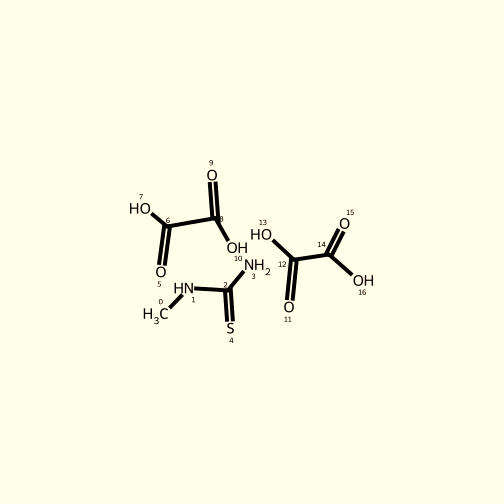 CNC(N)=S.O=C(O)C(=O)O.O=C(O)C(=O)O